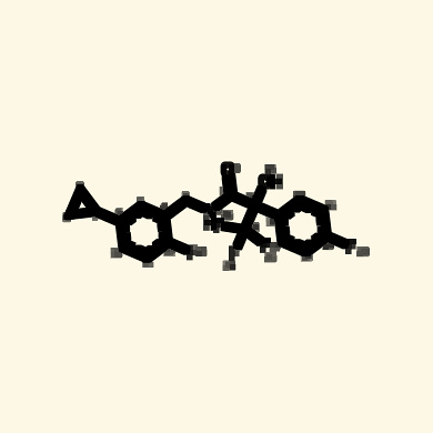 O=C(NCc1cc(C2CC2)ccc1F)C(O)(c1ccc(F)cc1)C(F)(F)F